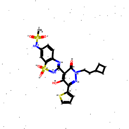 CS(=O)(=O)Nc1ccc2c(c1)S(=O)(=O)NC(c1c(O)c(-c3cccs3)nn(CCC3CCC3)c1=O)=N2